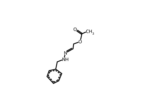 CC(=O)OCC=NNCc1ccccc1